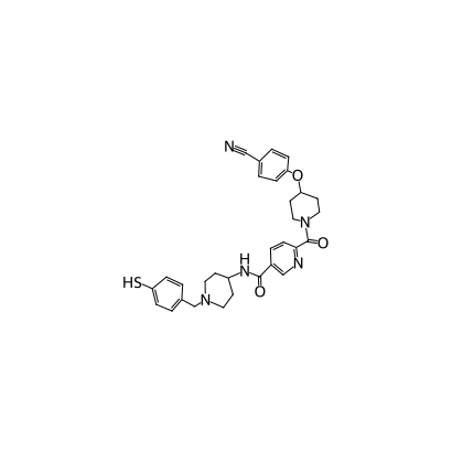 N#Cc1ccc(OC2CCN(C(=O)c3ccc(C(=O)NC4CCN(Cc5ccc(S)cc5)CC4)cn3)CC2)cc1